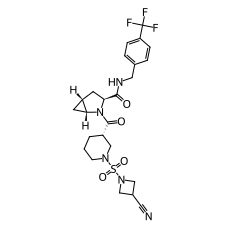 N#CC1CN(S(=O)(=O)N2CCC[C@H](C(=O)N3[C@@H]4C[C@@H]4C[C@H]3C(=O)NCc3ccc(C(F)(F)F)cc3)C2)C1